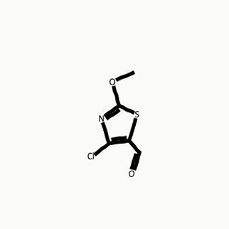 COc1nc(Cl)c(C=O)s1